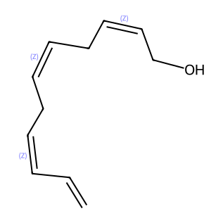 C=C/C=C\C/C=C\C/C=C\CO